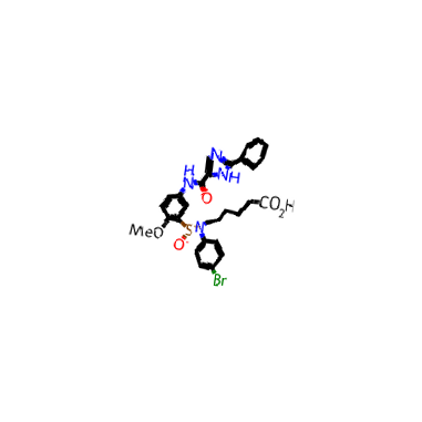 COc1ccc(NC(=O)c2cnc(-c3ccccc3)[nH]2)cc1[S+]([O-])N(CCCCCC(=O)O)c1ccc(Br)cc1